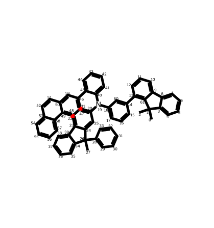 CC1(C)c2ccccc2-c2cccc(-c3cccc(N(c4ccc5c(c4)C(C)(c4ccccc4)c4ccccc4-5)c4ccccc4-c4ccc5c(ccc6ccccc65)c4)c3)c21